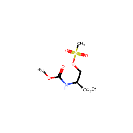 CCOC(=O)[C@H](COS(C)(=O)=O)NC(=O)OC(C)(C)C